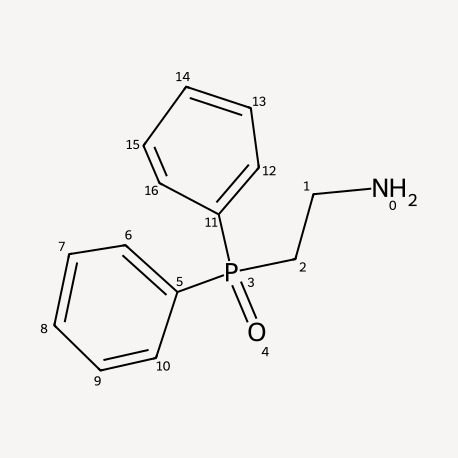 NCCP(=O)(c1ccccc1)c1ccccc1